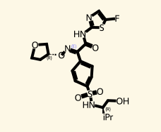 CC(C)[C@H](CO)NS(=O)(=O)c1ccc(/C(=N\O[C@@H]2CCOC2)C(=O)Nc2ncc(F)s2)cc1